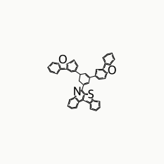 C1=C(c2ccc3oc4ccccc4c3c2)C=C(c2nc3ccccc3c3c2sc2ccccc23)CC1c1ccc2oc3ccccc3c2c1